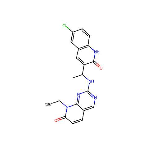 CC(Nc1ncc2ccc(=O)n(CC(C)(C)C)c2n1)c1cc2cc(Cl)ccc2[nH]c1=O